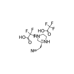 N#CC[C@H]1CNCCN1.O=C(O)C(F)(F)F.O=C(O)C(F)(F)F